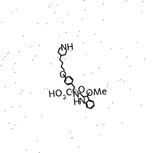 COC1C(C(=O)N[C@@H](Cc2ccc(OCCCCC3CCNCC3)cc2)C(=O)O)=Nc2ccccc21